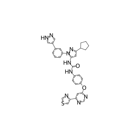 O=C(Nc1ccc(Oc2cc(-c3cscn3)ncn2)cc1)Nc1cc(C2CCCC2)nn1-c1cccc(-c2cn[nH]c2)c1